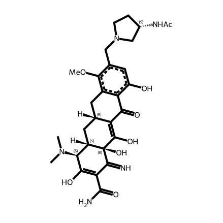 COc1c(CN2CC[C@H](NC(C)=O)C2)cc(O)c2c1C[C@H]1C[C@H]3[C@H](N(C)C)C(O)=C(C(N)=O)C(=N)[C@@]3(O)C(O)=C1C2=O